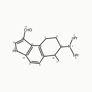 CCCN(CCC)C1CCc2c(ccc3[nH]cc(C=O)c23)C1C